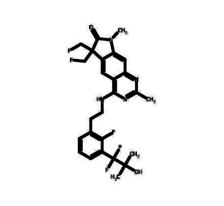 Cc1nc(NCCc2cccc(C(F)(F)C(C)(C)O)c2F)c2cc3c(cc2n1)N(C)C(=O)C3(CF)CF